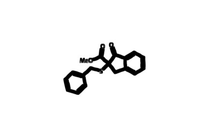 COC(=O)C1(SCc2ccccc2)Cc2ccccc2C1=O